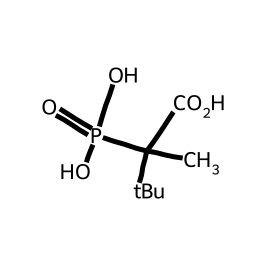 CC(C)(C)C(C)(C(=O)O)P(=O)(O)O